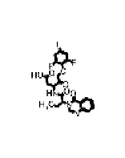 CCC(C(=O)NC(CC(=O)O)C(=O)COc1c(F)cc(F)cc1F)n1cnc2ccccc2c1=O